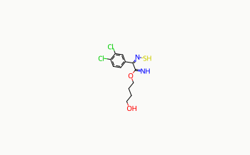 N=C(OCCCCO)/C(=N\S)c1ccc(Cl)c(Cl)c1